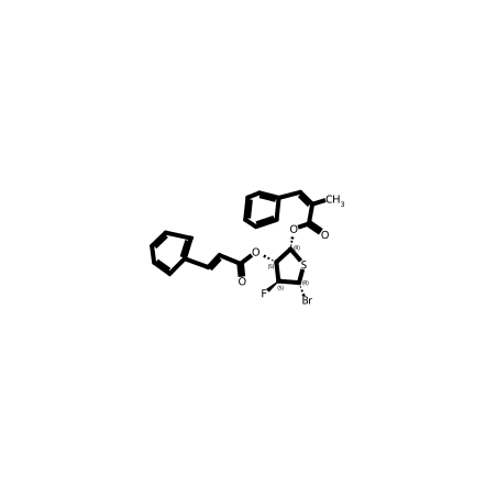 CC(=Cc1ccccc1)C(=O)O[C@@H]1S[C@H](Br)[C@@H](F)[C@@H]1OC(=O)C=Cc1ccccc1